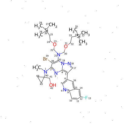 CN(c1nc2c(-c3cnc4ccc(F)cc4c3)cnn2c(N(COCC[Si](C)(C)C)COCC[Si](C)(C)C)c1Br)C1(CO)CC1